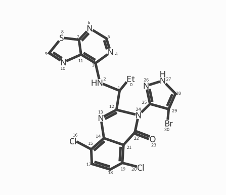 CCC(Nc1ncnc2scnc12)c1nc2c(Cl)ccc(Cl)c2c(=O)n1-c1n[nH]cc1Br